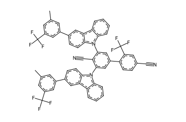 Cc1cc(-c2ccc3c(c2)c2ccccc2n3-c2cc(-c3ccc(C#N)cc3C(F)(F)F)cc(-n3c4ccccc4c4cc(-c5cc(C)cc(C(F)(F)F)c5)ccc43)c2C#N)cc(C(F)(F)F)c1